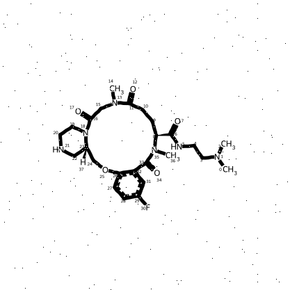 CN(C)CCNC(=O)[C@@H]1CCC(=O)N(C)CC(=O)N2CCNC[C@H]2COc2ccc(F)cc2C(=O)N1C